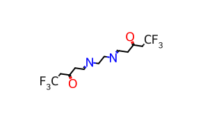 O=C(CC=NCCN=CCC(=O)CC(F)(F)F)CC(F)(F)F